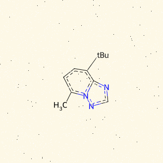 Cc1ccc(C(C)(C)C)c2ncnn12